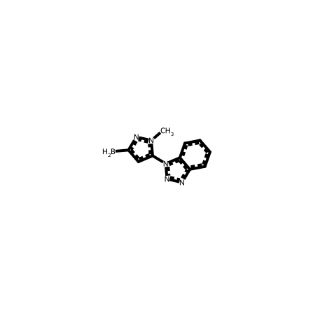 Bc1cc(-n2nnc3ccccc32)n(C)n1